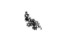 Cc1ncoc1C(=O)N[C@@H]1[C@@H](c2ccccc2)N(c2ccc3c(cnn3-c3ccc(F)cc3)c2)C(=O)C1(C)C